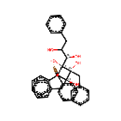 OC(Cc1ccccc1)[C@@H](O)[C@](O)(Cc1ccccc1)[C@@](O)(Cc1ccccc1)[C@](O)(Cc1ccccc1)C(=S)c1ccccc1